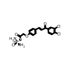 N[PH](N)(Cl)OC(=O)COc1ccc(/C=C/C(=O)c2ccc(Cl)c(Cl)c2)cc1